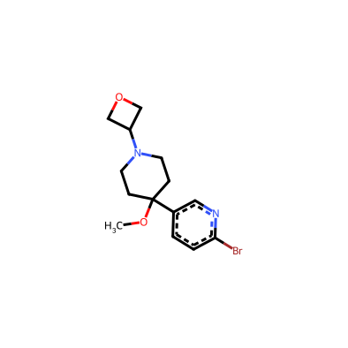 COC1(c2ccc(Br)nc2)CCN(C2COC2)CC1